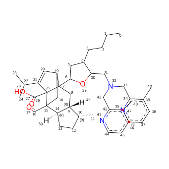 CCCCC1CC(C23C[C@@H]4[C@H](C)CC[C@H]4C4(C=O)CC2C=C(C(C)C)C34C(=O)O)OC1CN(Cc1ncccc1C)Cc1ncccc1C